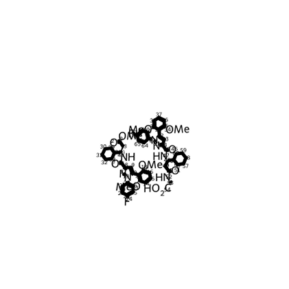 COC(=O)C[C@@H](NC(=O)c1cc(-c2c(OC)cccc2OC)n(-c2ccc(F)cc2)n1)C1CCCCC1.COc1cccc(OC)c1-c1cc(C(=O)NC(CC(=O)NCC(=O)O)C2CCCCC2)nn1-c1ccc(F)cc1